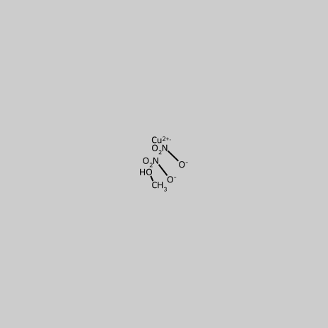 CO.O=[N+]([O-])[O-].O=[N+]([O-])[O-].[Cu+2]